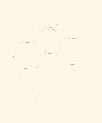 CNC[C@@H]1OCCc2ccc3c(c21)OCCC3